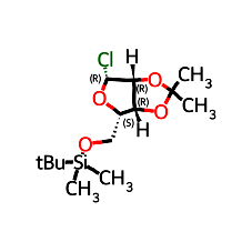 CC1(C)O[C@@H]2[C@H](O1)[C@H](CO[Si](C)(C)C(C)(C)C)O[C@@H]2Cl